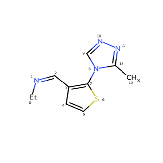 CC/N=C\c1ccsc1-n1cnnc1C